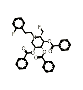 O=C(O[C@H]1[C@H](OC(=O)c2ccccc2)[C@H](CF)N(CCc2ccccc2F)C[C@@H]1OC(=O)c1ccccc1)c1ccccc1